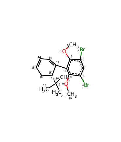 COc1c(Br)cc(Br)c(OC)c1C1=CC=CC[C@H]1C(C)(C)C